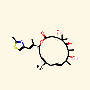 C/C(=C\c1csc(C)n1)[C@@H]1C/C=C(/C(F)(F)F)C/C=C/C(C)C(O)C(C)C(=O)C(C)(C)[C@@H](O)CC(=O)O1